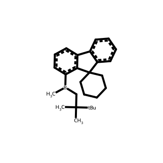 CB(CC(C)(C)C(C)(C)C)c1cccc2c1C1(CCCCC1)c1ccccc1-2